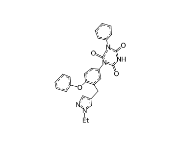 CCn1cc(Cc2cc(-n3c(=O)[nH]c(=O)n(-c4ccccc4)c3=O)ccc2Oc2ccccc2)cn1